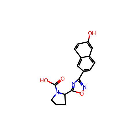 O=C(O)N1CCCC1c1nc(-c2ccc3cc(O)ccc3c2)no1